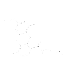 O=C(NOCCO)c1ccc(F)c(F)c1Nc1ccc(CC(F)(F)F)cc1F